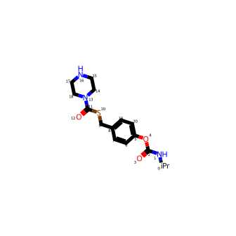 CC(C)NC(=O)Oc1ccc(CSC(=O)N2CCNCC2)cc1